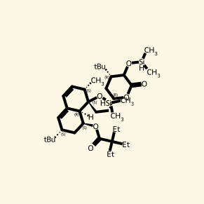 CCC(CC)(CC)C(=O)O[C@H]1C[C@H](C(C)(C)C)C=C2C=C[C@H](C)[C@](CC[C@@H]3C[C@H](C(C)(C)C)C(O[SiH](C)C)C(=O)O3)(O[SiH](C)C)[C@H]21